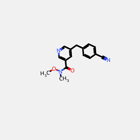 CON(C)C(=O)c1cncc(Cc2ccc(C#N)cc2)c1